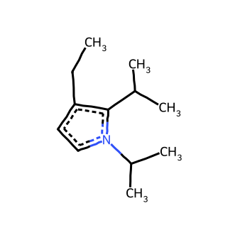 CCc1ccn(C(C)C)c1C(C)C